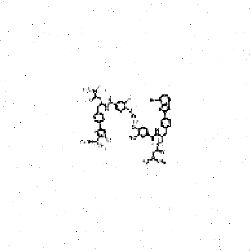 CC(C)Oc1ccc(C(=O)NC(CNC(=O)CN(C)C)Cc2ccc(-c3cn4cccc(Br)c4n3)cc2)cc1C#N.CCn1cc(-c2ccc(CC(CC(=O)N(C)C)NC(=O)c3ccc(OC(C)C)c(Cl)c3)cc2)nc1C(C)NC(C)=O